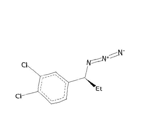 CC[C@H](N=[N+]=[N-])c1ccc(Cl)c(Cl)c1